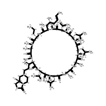 C/C=C/C[C@@H](C)[C@@H](O)[C@H]1C(=O)N[C@@H](CCC)C(=O)N(C)[C@H](C)C(=O)N(C)[C@@H]([C@H](C)CCN2CCN3C(=O)OC[C@@H]3C2)C(=O)N[C@@H](C(C)C)C(=O)N(C)[C@@H](CC(C)C)C(=O)N[C@@H](C)C(=O)N[C@H](C)C(=O)N(C)[C@@H](CC(C)C)C(=O)N(C)[C@@H](CC(C)C)C(=O)N(C)[C@@H](C(C)C)C(=O)N1C